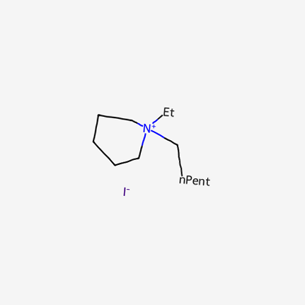 CCCCCC[N+]1(CC)CCCCC1.[I-]